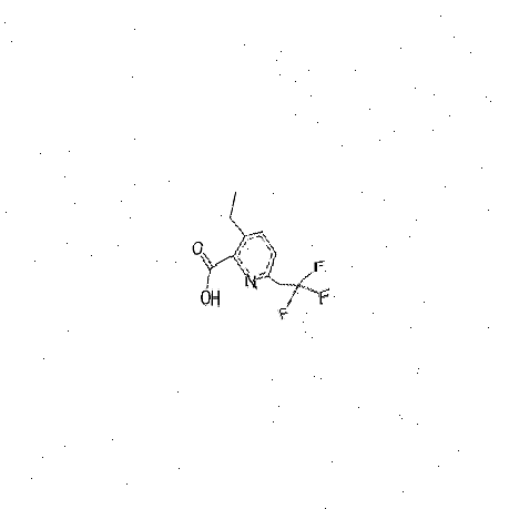 CCc1ccc(C(F)(F)F)nc1C(=O)O